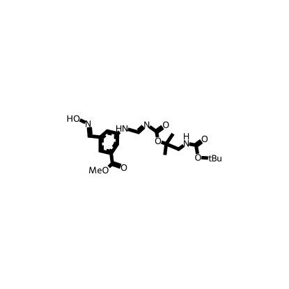 COC(=O)c1cc(C=NO)cc(NC=NC(=O)OC(C)(C)CNC(=O)OC(C)(C)C)c1